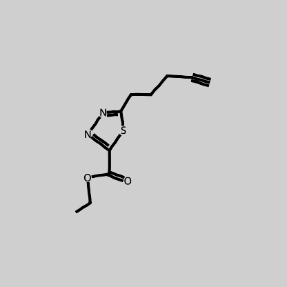 C#CCCCc1nnc(C(=O)OCC)s1